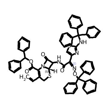 C=CC1=C(C(=O)OC(c2ccccc2)c2ccccc2)N2C(=O)C(NC(=O)/C(=N\OC(c3ccccc3)(c3ccccc3)c3ccccc3)c3csc(NC(c4ccccc4)(c4ccccc4)c4ccccc4)n3)[C@@H]2SC1